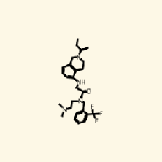 CCC(C)N1CCc2c(cccc2NCC(=O)N(CCN(C)C)Cc2ccccc2C(F)(F)F)C1